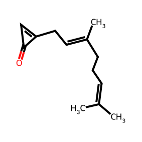 CC(C)=CCC/C(C)=C/Cc1cc1=O